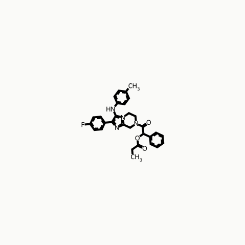 CCC(=O)OC(C(=O)N1CCn2c(nc(-c3ccc(F)cc3)c2Nc2ccc(C)cc2)C1)c1ccccc1